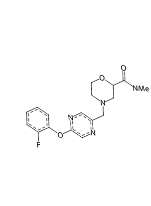 CNC(=O)C1CN(Cc2cnc(Oc3ccccc3F)cn2)CCO1